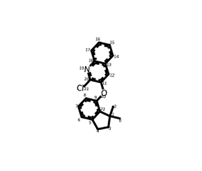 CC1(C)CCc2cccc(Oc3cc4ccccc4nc3Cl)c21